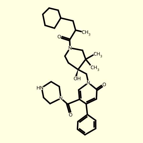 CC(CC1CCCCC1)C(=O)N1CC[C@@](O)(Cn2cc(C(=O)N3CCNCC3)c(-c3ccccc3)cc2=O)C(C)(C)C1